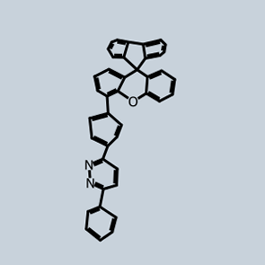 c1ccc(-c2ccc(-c3ccc(-c4cccc5c4Oc4ccccc4C54c5ccccc5-c5ccccc54)cc3)nn2)cc1